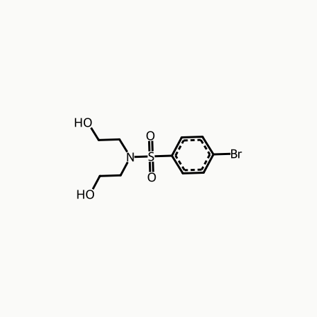 O=S(=O)(c1ccc(Br)cc1)N(CCO)CCO